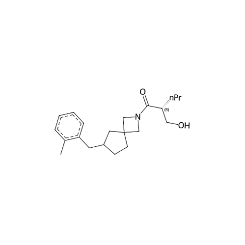 CCC[C@H](CO)C(=O)N1CC2(CCC(Cc3ccccc3C)C2)C1